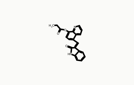 CCC(=O)Oc1ccc(C=C2C(=O)Nc3ccccc32)c2cccnc12